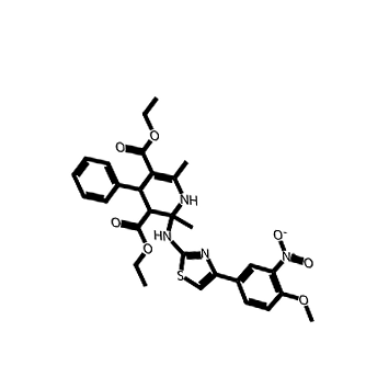 CCOC(=O)C1=C(C)NC(C)(Nc2nc(-c3ccc(OC)c([N+](=O)[O-])c3)cs2)C(C(=O)OCC)C1c1ccccc1